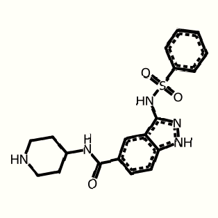 O=C(NC1CCNCC1)c1ccc2[nH]nc(NS(=O)(=O)c3ccccc3)c2c1